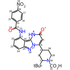 CC(C)(C)C1CC(c2cc(=O)[nH]c3c4c(NC(=O)c5ccc([N+](=O)[O-])cc5)cccc4nn23)CCN1C(=O)O